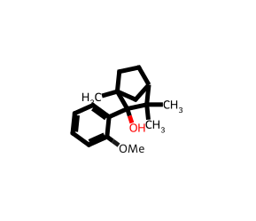 COc1ccccc1C1(O)C2(C)CCC(C2)C1(C)C